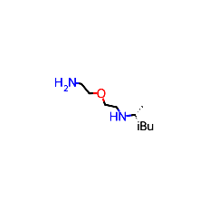 CC[C@@H](C)[C@@H](C)NCCOCCN